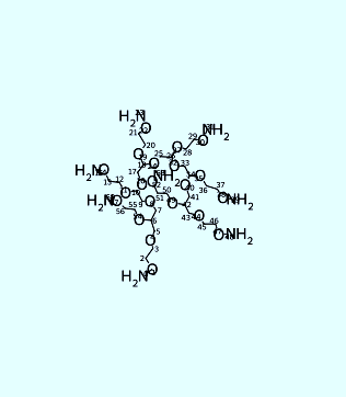 NOCCOCC(COCC(OCCON)OCC(OCCON)OCC(OCCON)OCC(OCCON)OCC(COCCON)OCCON)OCCON